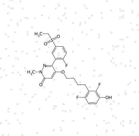 CCS(=O)(=O)c1ccc(F)c(-c2nn(C)c(=O)cc2OCCCCc2c(F)ccc(O)c2F)c1